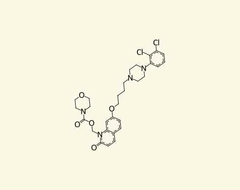 O=C(OCn1c(=O)ccc2ccc(OCCCCN3CCN(c4cccc(Cl)c4Cl)CC3)cc21)N1CCOCC1